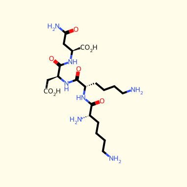 NCCCC[C@H](NC(=O)[C@@H](N)CCCCN)C(=O)N[C@@H](CC(=O)O)C(=O)N[C@@H](CC(N)=O)C(=O)O